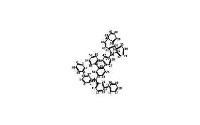 c1ccc(-c2cccc(N(c3cccc(-c4ccccc4)c3)c3ccc(-c4ccc(-n5c6ccccc6c6c7ccccc7ccc65)cc4)c(-c4ccccc4)c3)c2)cc1